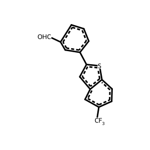 O=Cc1cccc(-c2cc3cc(C(F)(F)F)ccc3s2)c1